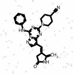 C=C1NC(=O)C/C1=C\c1cnn2c(Nc3ccccc3)nc(N3CCC(C#N)CC3)nc12